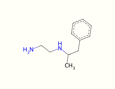 C[C](Cc1ccccc1)NCCN